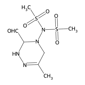 CC1=NNC(C=O)N(N(S(C)(=O)=O)S(C)(=O)=O)C1